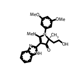 CNC1=C(c2nc3ccccc3[nH]2)C(=O)[C@](C)(CCO)N1c1cc(OC)cc(OC)c1